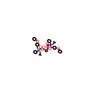 O=C(OC(=O)N(Cc1ccc(Oc2ccccc2)cc1)[C@H](CC1CC1)c1ccccc1)C1CCC1C(=O)OC(=O)N(Cc1ccc(Oc2ccccc2)cc1)[C@H](CC1CC1)c1ccccc1